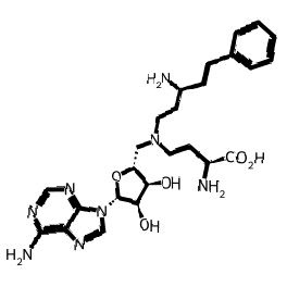 Nc1ncnc2c1ncn2[C@@H]1O[C@H](CN(CCC(N)CCc2ccccc2)CC[C@H](N)C(=O)O)[C@@H](O)[C@H]1O